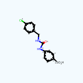 O=C(NCc1ccc(Cl)cc1)Nc1ccc(S(=O)(=O)O)cc1